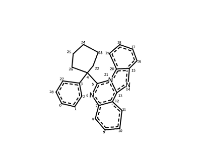 c1ccc(C2(c3nc4ccccc4c4nc5ccccc5n34)CCCCC2)cc1